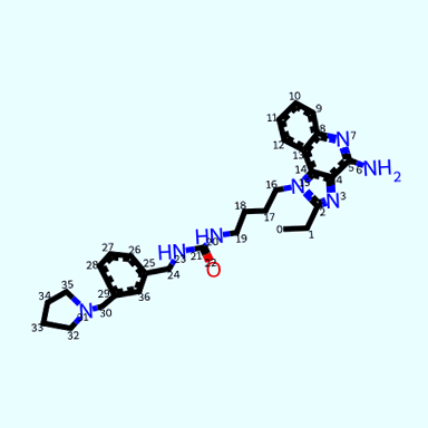 CCc1nc2c(N)nc3ccccc3c2n1CCCCNC(=O)NCc1cccc(CN2CCCC2)c1